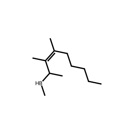 CBC(C)/C(C)=C(/C)CCCCC